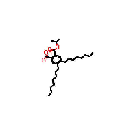 CCCCCCCCc1cc(C(=O)O)c(C(=O)OC(C)C)cc1CCCCCCCC